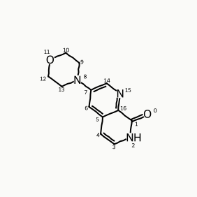 O=c1[nH]ccc2cc(N3CCOCC3)cnc12